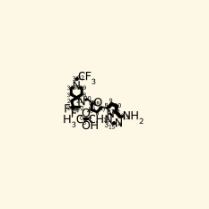 CC(C)(O)O[C@H]1C[C@H](c2ccc3c(N)ncnn23)O[C@@H]1CN1CC(F)(F)CC12CCN(CC(F)(F)F)CC2